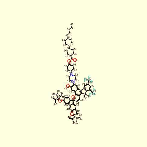 CCCCC[C@H]1CC[C@H]([C@H]2CC[C@H](C(=O)Oc3ccc(N4CCN(c5cc6c7c(c8c(c6cc5OC)OC(c5ccc(O[Si](C(C)C)(C(C)C)C(C)C)cc5)(c5ccc(O[Si](C(C)C)(C(C)C)C(C)C)cc5)C=C8)C(C)(C)c5c-7cc(C(F)(F)F)cc5C(F)(F)F)CC4)cc3)CC2)CC1